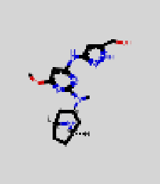 COc1cc(Nc2cc(CO)[nH]n2)nc(N(C)[C@H]2C[C@H]3CC[C@@H](C2)N3)n1